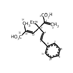 C=C(C(=O)O)C(C=Cc1ccccc1)(C=C(C)C(=O)O)CC